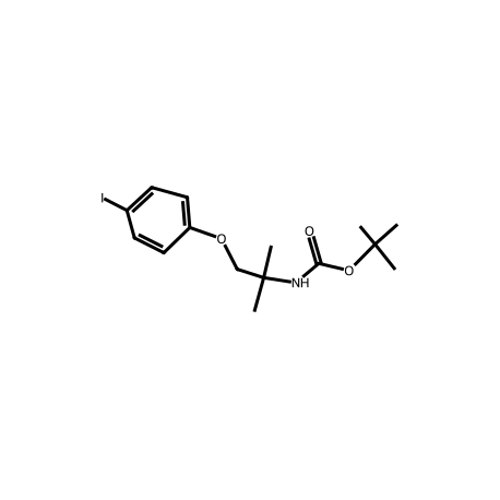 CC(C)(COc1ccc(I)cc1)NC(=O)OC(C)(C)C